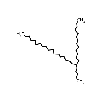 [CH2]CCCCC(CCCCCCCCCCCCC)CCCCCCCCCCCCCCCCCC